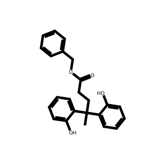 CC(CCC(=O)OCc1ccccc1)(c1ccccc1O)c1ccccc1O